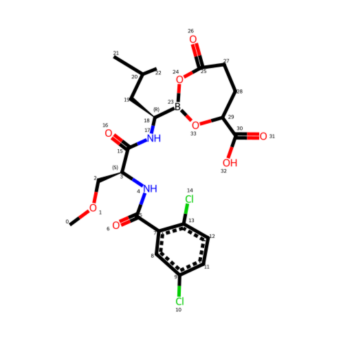 COC[C@H](NC(=O)c1cc(Cl)ccc1Cl)C(=O)N[C@@H](CC(C)C)B1OC(=O)CCC(C(=O)O)O1